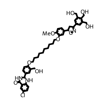 COc1ccc(C2CC(c3cc(CO)c(CO)c(CO)c3)=NO2)cc1OCCCCCCCCCCOc1ccc(C2NC(=O)c3cc(Cl)ccc3N2)cc1CO